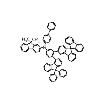 CC1(C)c2ccccc2-c2ccc(N(c3ccc(-c4ccccc4)cc3)c3ccc(-c4cccc5c4-c4ccccc4C5(c4ccccc4)c4ccccc4)c(-c4ccc5c(c4)-c4ccccc4C54c5ccccc5-c5ccccc54)c3)cc21